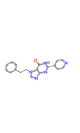 O=c1[nH]c(-c2ccncc2)nc2ncn(CCc3ccccc3)c12